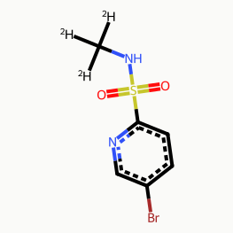 [2H]C([2H])([2H])NS(=O)(=O)c1ccc(Br)cn1